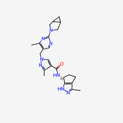 Cc1nc(N2CC3CC3C2)ncc1Cn1cc(C(=O)N[C@@H]2CCc3c(C)n[nH]c32)c(C)n1